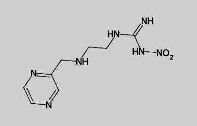 N=C(NCCNCc1cnccn1)N[N+](=O)[O-]